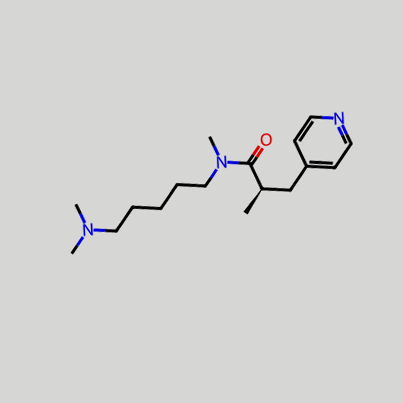 C[C@H](Cc1ccncc1)C(=O)N(C)CCCCCN(C)C